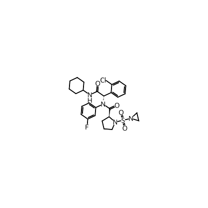 O=C(NC1CCCCC1)[C@H](c1ccccc1Cl)N(C(=O)[C@@H]1CCCN1S(=O)(=O)N1CC1)c1cccc(F)c1